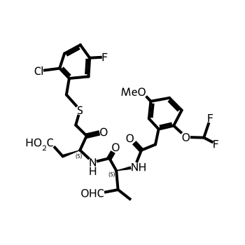 COc1ccc(OC(F)F)c(CC(=O)N[C@H](C(=O)N[C@@H](CC(=O)O)C(=O)CSCc2cc(F)ccc2Cl)C(C)C=O)c1